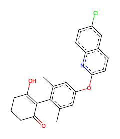 Cc1cc(Oc2ccc3cc(Cl)ccc3n2)cc(C)c1C1=C(O)CCCC1=O